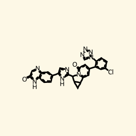 O=c1cnc2cc(-c3cnc(C4C5CC5c5cc(-c6cc(Cl)ccc6-n6cnnn6)cc(=O)n54)[nH]3)ccc2[nH]1